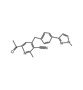 CC(=O)c1cc(Cc2ccc(-c3ccn(C)n3)cc2)c(C#N)c(C)n1